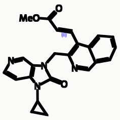 COC(=O)/C=C/c1c(Cn2c(=O)n(C3CC3)c3ccncc32)ncc2ccccc12